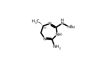 CCCCNC1=N[C@@H](C)CN=C(N)N1